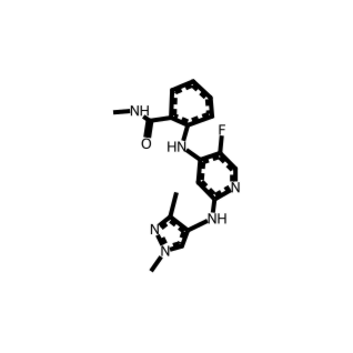 CNC(=O)c1ccccc1Nc1cc(Nc2cn(C)nc2C)ncc1F